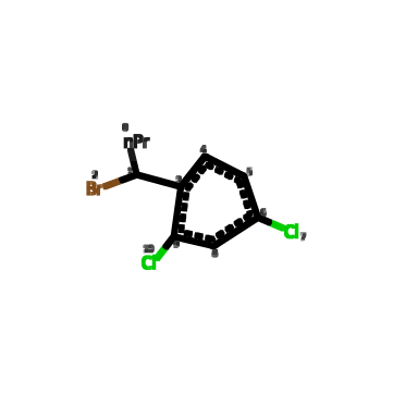 CCCC(Br)c1ccc(Cl)cc1Cl